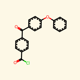 O=C(Cl)c1ccc(C(=O)c2ccc(Oc3ccccc3)cc2)cc1